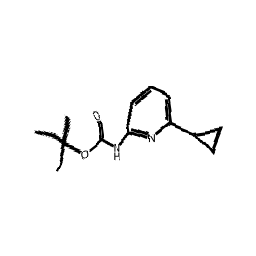 CC(C)(C)OC(=O)Nc1cccc(C2CC2)n1